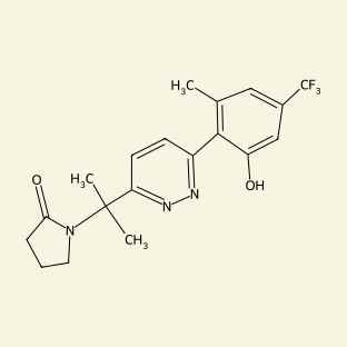 Cc1cc(C(F)(F)F)cc(O)c1-c1ccc(C(C)(C)N2CCCC2=O)nn1